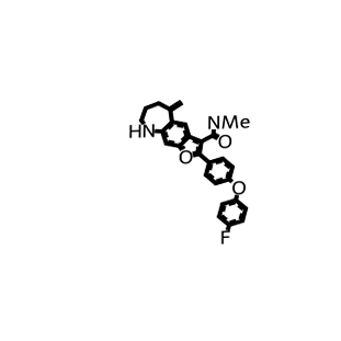 C=C1CCCNc2cc3oc(-c4ccc(Oc5ccc(F)cc5)cc4)c(C(=O)NC)c3cc21